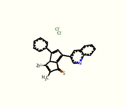 CC1=[C]([Zr+2])C2C(c3ccccc3)=CC(c3cnc4ccccc4c3)=C2C1=S.[Cl-].[Cl-]